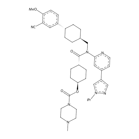 COc1ccc([C@H]2CC[C@H](CN(c3cc(-c4cnn(C(C)C)c4)ccn3)C(=O)[C@H]3CC[C@H](OC(=O)N4CCN(C)CC4)CC3)CC2)cc1C#N